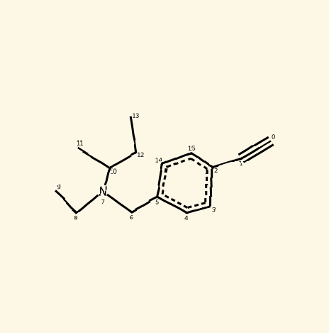 C#Cc1ccc(CN(CC)C(C)CC)cc1